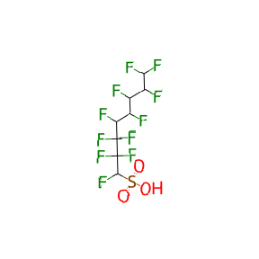 O=S(=O)(O)C(F)C(F)(F)C(F)(F)C(F)C(F)C(F)C(F)C(F)F